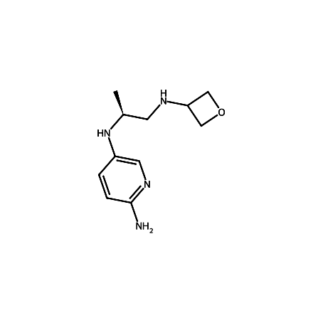 C[C@@H](CNC1COC1)Nc1ccc(N)nc1